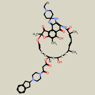 C/C1=C/C=C/C(C)CCC(O)C[C@H](OC(=O)CC(=O)N2CCN(C3Cc4ccccc4C3)CC2)CC/C=C/OC2(C)Oc3c(C)c(O)c4c(c3C2=O)C2=NC3(CCN(CC(C)C)CC3)NC2=C(NC1=O)C4=O